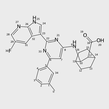 Cc1cccc(-c2cc(NC3C4CCC(CC4)C3C(=O)O)nc(-c3c[nH]c4ncc(F)cc34)n2)c1